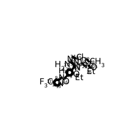 CCOc1cc(C(=O)Nc2cc(C(F)(F)F)ccn2)ccc1-c1nc([C@H]2CN(C(=O)CC)[C@@H](C)CO2)n2c(Cl)cnc(N)c12